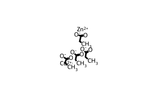 CCC(=O)[O-].CCC(=O)[O-].CCC(=O)[O-].CCC(=O)[O-].[Cu+2].[Zn+2]